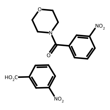 O=C(O)c1cccc([N+](=O)[O-])c1.O=C(c1cccc([N+](=O)[O-])c1)N1CCOCC1